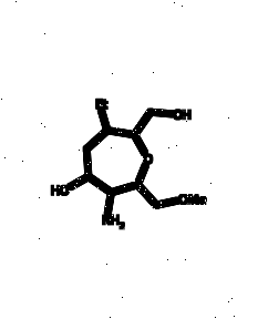 CCC1CC(O)C(N)C(COC)OC1CO